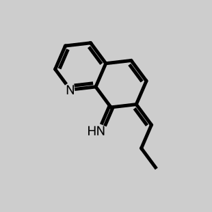 CC/C=C1/C=Cc2cccnc2C1=N